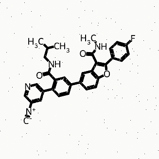 [C-]#[N+]c1cncc(-c2ccc(-c3ccc4oc(-c5ccc(F)cc5)c(C(=O)NC)c4c3)cc2C(=O)NCC(C)C)c1